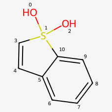 OS1(O)C=Cc2ccccc21